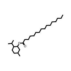 CCCCCCCCCCCCCCCC(=O)OC1CC(C)CCC1C(C)C